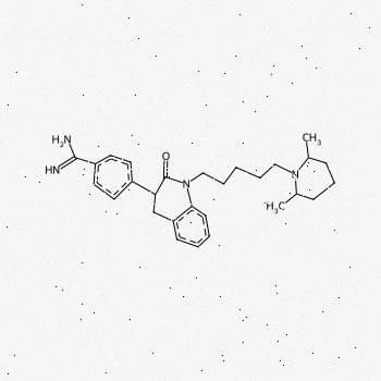 CC1CCCC(C)N1CCCCCN1C(=O)C(c2ccc(C(=N)N)cc2)Cc2ccccc21